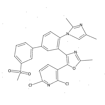 Cc1cn(-c2ccc(-c3cccc(S(C)(=O)=O)c3)cc2-c2nc(C)oc2-c2ccc(Cl)nc2Cl)c(C)n1